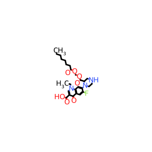 CCCCCCCC(=O)OCOC(=O)C1CNCCN1c1cc2c(cc1F)c(=O)c(C(=O)O)cn2CC